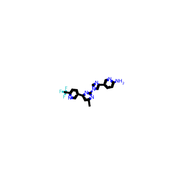 Cc1cc(-c2ccc(C(F)(F)F)nc2)nc(-n2cnc(-c3ccc(N)nc3)c2)n1